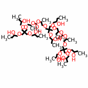 CCC(O)COCC(COCC(O)CC)(COCC(O)CC)COCC(C)OC(=O)OC(C)COCC(COCC(O)CC)(COCC(O)CC)COCC(CC)OC(=O)OC(C)COCC(COCC(C)O)(COCC(O)CC)COCC(O)CC